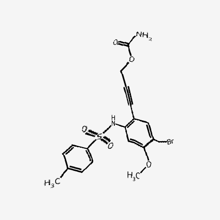 COc1cc(NS(=O)(=O)c2ccc(C)cc2)c(C#CCOC(N)=O)cc1Br